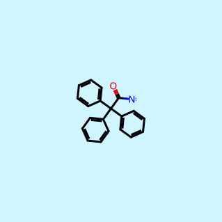 [N]C(=O)C(c1ccccc1)(c1ccccc1)c1ccccc1